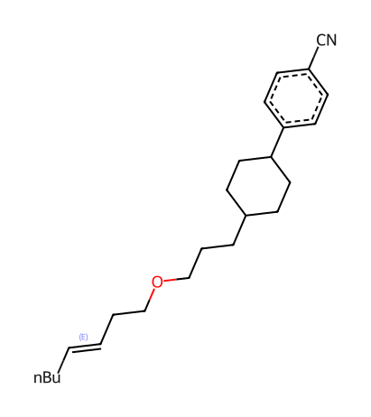 CCCC/C=C/CCOCCCC1CCC(c2ccc(C#N)cc2)CC1